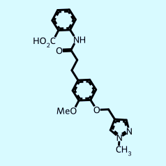 COc1cc(CCC(=O)Nc2ccccc2C(=O)O)ccc1OCc1cnn(C)c1